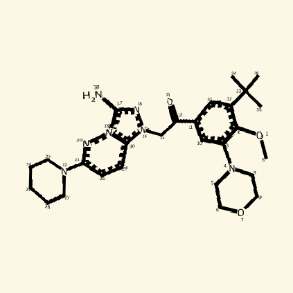 COc1c(N2CCOCC2)cc(C(=O)C[n+]2nc(N)n3nc(N4CCCCC4)ccc32)cc1C(C)(C)C